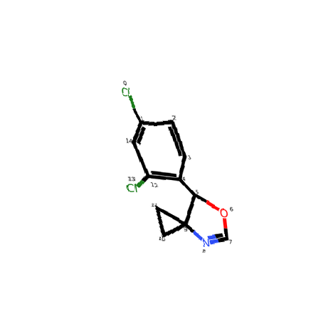 Clc1ccc(C2OC=NC23CC3)c(Cl)c1